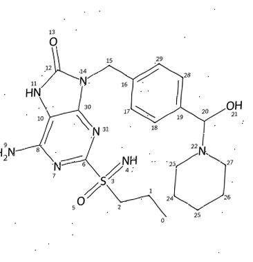 CCCS(=N)(=O)c1nc(N)c2[nH]c(=O)n(Cc3ccc(C(O)N4CCCCC4)cc3)c2n1